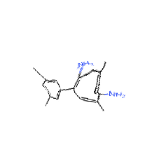 Cc1cc(C)cc(-c2cc(C)c(N)c(C)c2N)c1